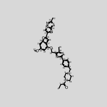 CCC(=O)N1CCN(Cc2ccc(-c3nc(COc4cc(OC)cc5oc(-c6cn7nc(C)sc7n6)cc45)c(C)s3)cc2)CC1